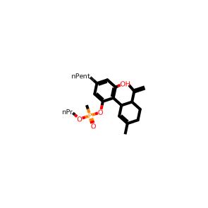 C=C(C)C1CCC(C)=CC1c1c(O)cc(CCCCC)cc1OP(C)(=O)OCCC